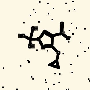 O=[N+]([O-])c1cn(C(O)(O)O)nc1OC1CC1